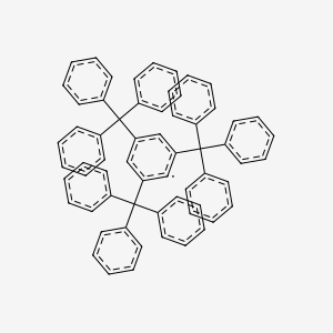 [c]1c(C(c2ccccc2)(c2ccccc2)c2ccccc2)cc(C(c2ccccc2)(c2ccccc2)c2ccccc2)cc1C(c1ccccc1)(c1ccccc1)c1ccccc1